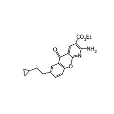 CCOC(=O)c1cc2c(=O)c3cc(CCC4CC4)ccc3oc2nc1N